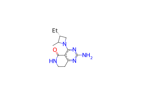 CC[C@@H]1CN(c2nc(N)nc3c2C(=O)NCC3)C1C